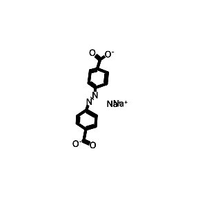 O=C([O-])c1ccc(/N=N/c2ccc(C(=O)[O-])cc2)cc1.[Na+].[Na+]